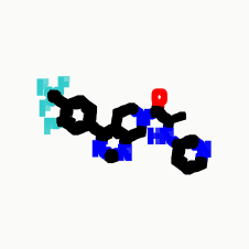 C[C@@H](Nc1cccnc1)C(=O)N1CCc2c(ncnc2-c2ccc(C(F)(F)F)c(F)c2)C1